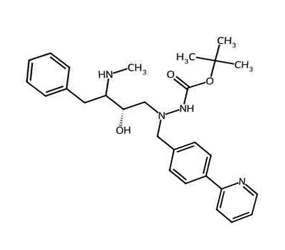 CNC(Cc1ccccc1)[C@@H](O)CN(Cc1ccc(-c2ccccn2)cc1)NC(=O)OC(C)(C)C